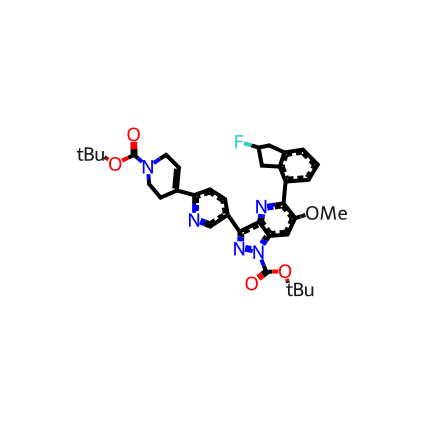 COc1cc2c(nc1-c1cccc3c1CC(F)C3)c(-c1ccc(C3=CCN(C(=O)OC(C)(C)C)CC3)nc1)nn2C(=O)OC(C)(C)C